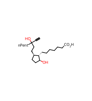 C#CC(O)(CCCCC)CC[C@@H]1CC[C@H](O)[C@H]1CCCCCCC(=O)O